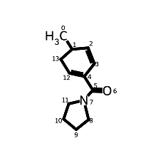 CC1C=CC(C(=O)N2CCCC2)=CC1